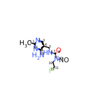 Cc1ncc(CNC(=O)N(CCF)N=O)c(N)n1